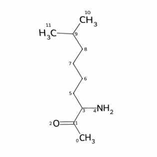 CC(=O)C(N)CCCCC(C)C